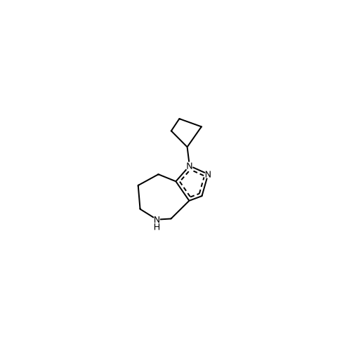 c1nn(C2CCC2)c2c1CNCCC2